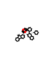 CC1(C)c2ccccc2-c2ccc(N(c3ccccc3)c3cc4ccccc4c4c3c3c(-c5ccccc5)cccc3n4-c3ccccc3)cc21